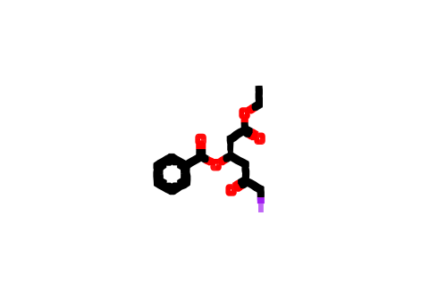 CCOC(=O)C[C@@H](CC(=O)CI)OC(=O)c1ccccc1